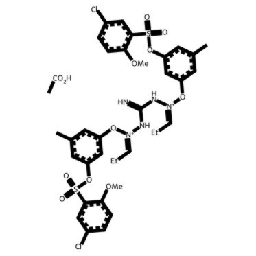 CC(=O)O.CCC=[N+](NC(=N)N[N+](=CCC)Oc1cc(C)cc(OS(=O)(=O)c2cc(Cl)ccc2OC)c1)Oc1cc(C)cc(OS(=O)(=O)c2cc(Cl)ccc2OC)c1